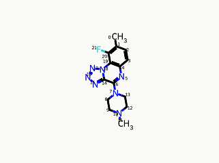 Cc1ccc2nc(N3CCN(C)CC3)c3nnnn3c2c1F